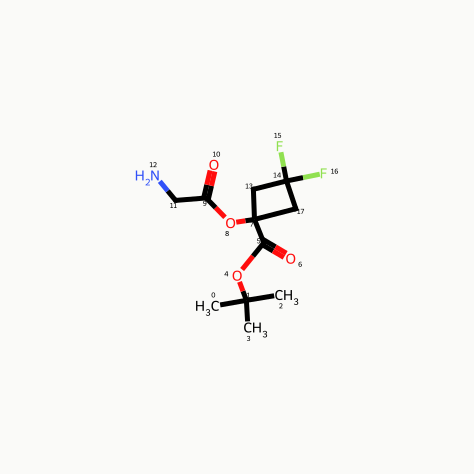 CC(C)(C)OC(=O)C1(OC(=O)CN)CC(F)(F)C1